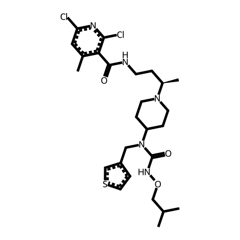 Cc1cc(Cl)nc(Cl)c1C(=O)NCC[C@@H](C)N1CCC(N(Cc2ccsc2)C(=O)NOCC(C)C)CC1